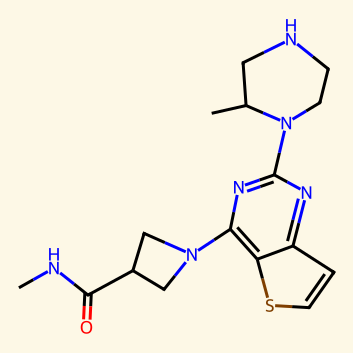 CNC(=O)C1CN(c2nc(N3CCNCC3C)nc3ccsc23)C1